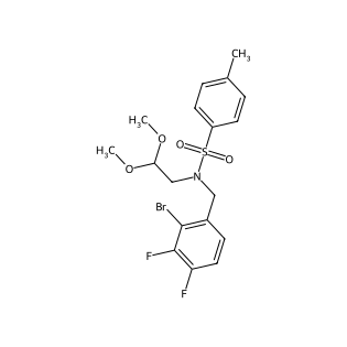 COC(CN(Cc1ccc(F)c(F)c1Br)S(=O)(=O)c1ccc(C)cc1)OC